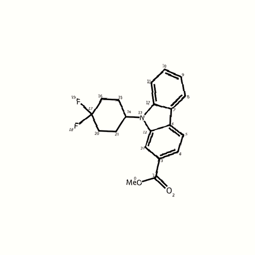 COC(=O)c1ccc2c3ccccc3n(C3CCC(F)(F)CC3)c2c1